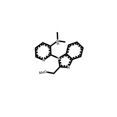 COCc1nc2ccccc2n1-c1ncccc1[SiH](C)C